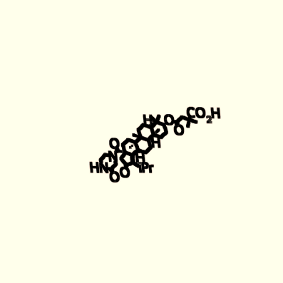 CC(C)C1=C2[C@H]3CC[C@@H]4[C@@]5(C)CC[C@H](OC(=O)CC(C)(C)C(=O)O)C(C)(C)[C@@H]5CC[C@@]4(C)[C@]3(C)CC[C@@]2(C(=O)N2CCNC(=O)C2)CC1=O